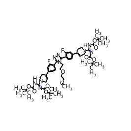 COCCOCCn1c(-c2ccc(C3=CCN(/C(=N\C(=O)OC(C)(C)C)NC(=O)OC(C)(C)C)CC3)cc2F)nnc1-c1ccc(C2=CCN(/C(=N\C(=O)OC(C)(C)C)NC(=O)OC(C)(C)C)CC2)cc1F